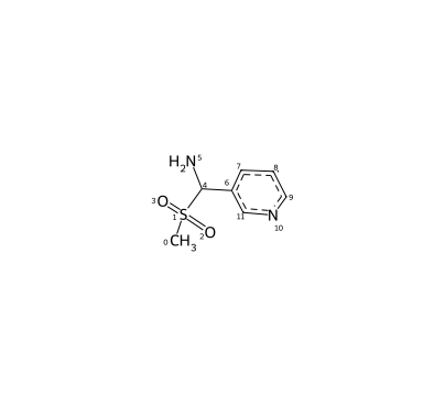 CS(=O)(=O)C(N)c1c[c]cnc1